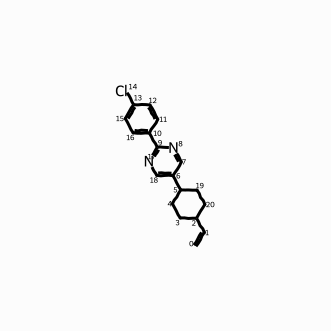 C=CC1CCC(c2cnc(-c3ccc(Cl)cc3)nc2)CC1